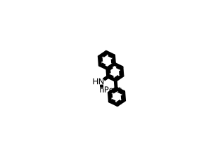 CCCCCNc1c(-c2ccccc2)ccc2ccccc12